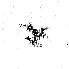 CNC(=O)C(=O)[C@H](CC1CC1)NC(=O)[C@@H]1C[C@]2(CC(c3cc(C)c(OC)c(C)c3)=NO2)CN1C(=O)[C@@H](NC(=O)[C@@H]1C[C@H]1C(C)C)C(C)(C)C